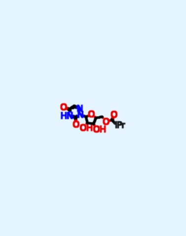 CC(C)C(=O)OCC1OC(n2ncc(=O)[nH]c2=O)C(O)C1O